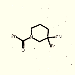 CC(C)C(=O)N1CCCC(C#N)(C(C)C)C1